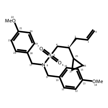 C=CC[C@H](CS(=O)(=O)N(Cc1ccc(OC)cc1)Cc1ccc(OC)cc1)C1CC1